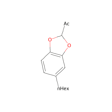 CCCCCCc1ccc2c(c1)OC(C(C)=O)O2